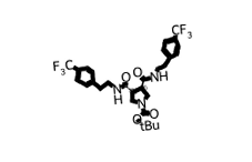 CC(C)(C)OC(=O)N1C[C@H](C(=O)NCCc2ccc(C(F)(F)F)cc2)[C@@H](C(=O)NCCc2ccc(C(F)(F)F)cc2)C1